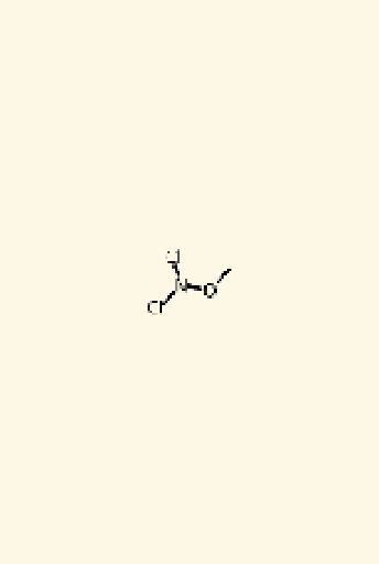 CON(Cl)Cl